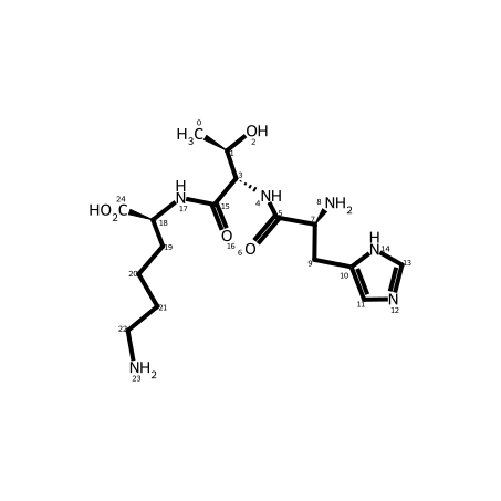 C[C@@H](O)[C@H](NC(=O)[C@@H](N)Cc1cnc[nH]1)C(=O)N[C@@H](CCCCN)C(=O)O